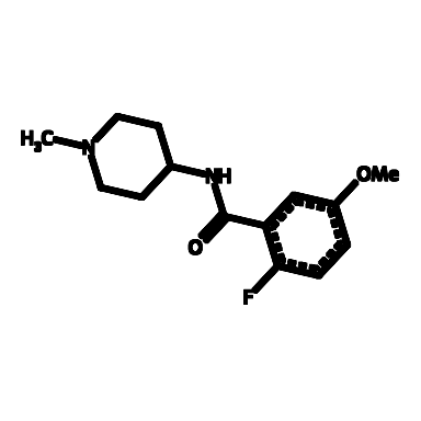 COc1ccc(F)c(C(=O)NC2CCN(C)CC2)c1